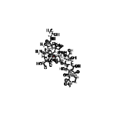 CCC(C)(CC(C)(CC(C)(CC(C)(C)C(=O)CC(=O)O)C(=O)CNN)C(=O)CNN=C(CO)[C@]1(O)Cc2c(O)c3c(c(O)c2[C@@H](OC2CC(N)C(O)C(C)O2)C1)C(=O)c1c(OC)cccc1C3=O)C(=O)NCC(C)O